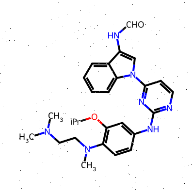 CC(C)Oc1cc(Nc2nccc(-n3cc(NC=O)c4ccccc43)n2)ccc1N(C)CCN(C)C